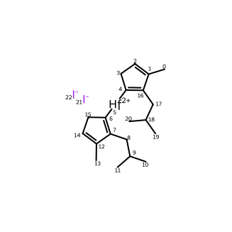 CC1=CC[C]([Hf+2][C]2=C(CC(C)C)C(C)=CC2)=C1CC(C)C.[I-].[I-]